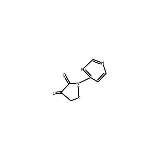 O=C1CSN(c2ccn[c]n2)C1=O